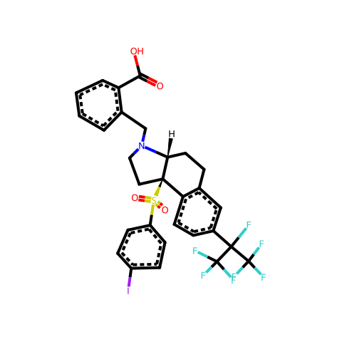 O=C(O)c1ccccc1CN1CC[C@@]2(S(=O)(=O)c3ccc(I)cc3)c3ccc(C(F)(C(F)(F)F)C(F)(F)F)cc3CC[C@@H]12